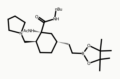 CCCCNC(=O)[C@@]1(NC(C)=O)C[C@H](CCB2OC(C)(C)C(C)(C)O2)CC[C@H]1CN1CCCC1